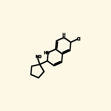 O=NC1(C2C=CC3=CC(Cl)NC=C3N2)CCCC1